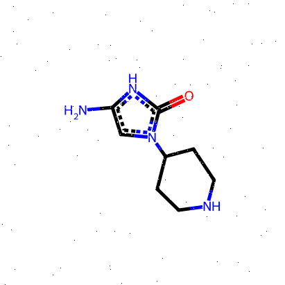 Nc1cn(C2CCNCC2)c(=O)[nH]1